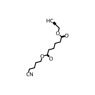 C#CCOC(=O)CCCCC(=O)OCCCCC#N